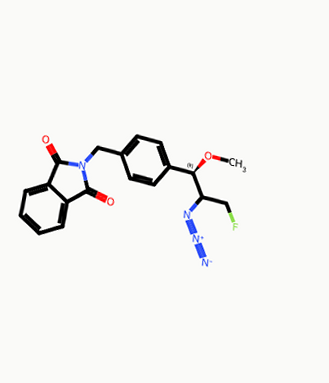 CO[C@H](c1ccc(CN2C(=O)c3ccccc3C2=O)cc1)C(CF)N=[N+]=[N-]